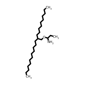 CCCCCCCCCCCCC(CCCCCCCCCC)COC(N)CC